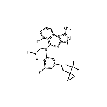 Cc1nnc2nc(N(CC(F)F)c3cc(F)cc(CCC4(C(F)(F)F)CC4)c3)c3c(F)cccc3n12